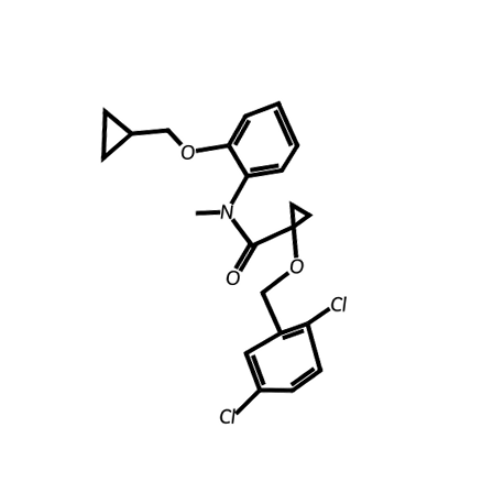 CN(C(=O)C1(OCc2cc(Cl)ccc2Cl)CC1)c1ccccc1OCC1CC1